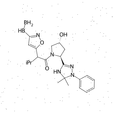 BBc1cc(C(C(=O)N2C[C@H](O)C[C@H]2C2=NN(c3ccccc3)C(C)(C)N2)C(C)C)on1